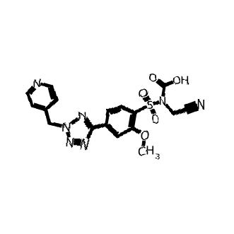 COc1cc(-c2nnn(Cc3ccncc3)n2)ccc1S(=O)(=O)N(CC#N)C(=O)O